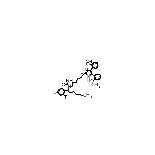 CCCCCCC(c1ccc(F)cc1F)N(CCCCCSc1nc(-c2ccccc2OC)c(-c2ccccc2OC)[nH]1)C(N)=O